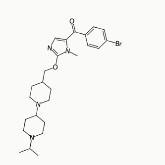 CC(C)N1CCC(N2CCC(COc3ncc(C(=O)c4ccc(Br)cc4)n3C)CC2)CC1